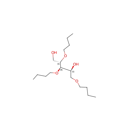 CCCCOC[C@H](O)[C@@H](OCCCC)[C@H](CO)OCCCC